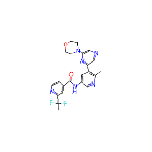 Cc1ncc(NC(=O)c2ccnc(C(C)(F)F)c2)cc1-c1cncc(N2CCOCC2)n1